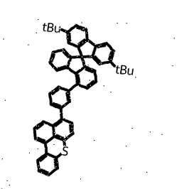 CC(C)(C)c1ccc2c(c1)C1(c3cc(C(C)(C)C)ccc3-2)c2ccccc2-c2c(-c3cccc(-c4ccc5c6c(cccc46)-c4ccccc4S5)c3)cccc21